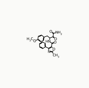 COc1ccc(CC(NC(=O)c2oc(C)nc2-c2ccccc2)C(=O)C(N)=O)cc1